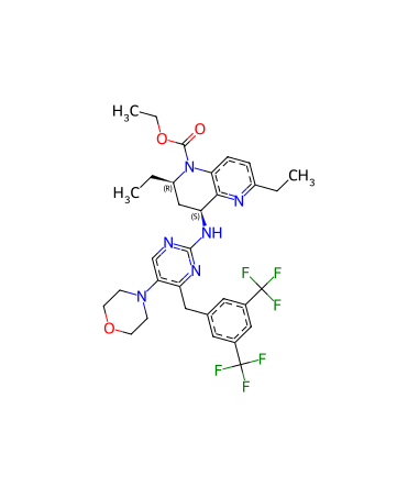 CCOC(=O)N1c2ccc(CC)nc2[C@@H](Nc2ncc(N3CCOCC3)c(Cc3cc(C(F)(F)F)cc(C(F)(F)F)c3)n2)C[C@H]1CC